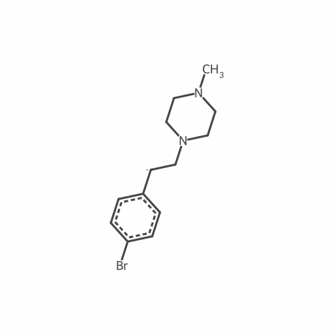 CN1CCN(C[CH]c2ccc(Br)cc2)CC1